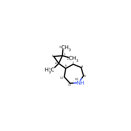 CC1(C)CC1(C)C1CCCNCC1